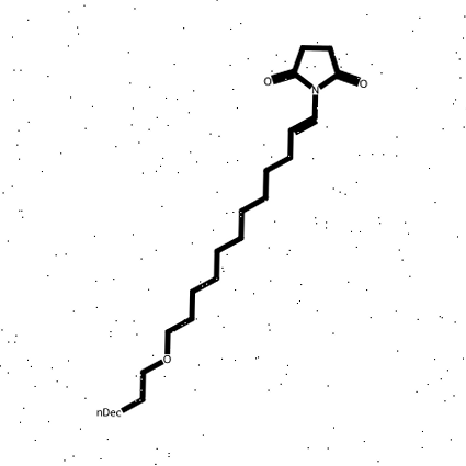 CCCCCCCCCCCCOCCCCCCCCCCC=CN1C(=O)CCC1=O